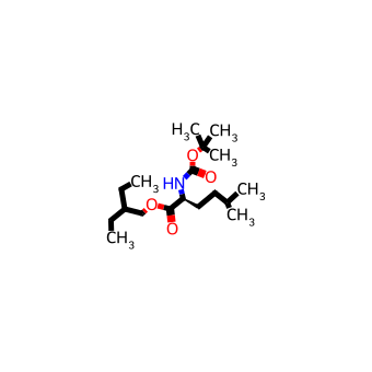 CCC(CC)COC(=O)[C@H](CCC(C)C)NC(=O)OC(C)(C)C